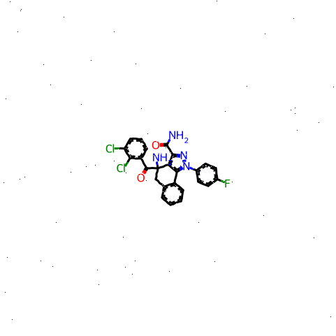 NC(=O)c1nn(-c2ccc(F)cc2)c2c1C(N)(C(=O)c1cccc(Cl)c1Cl)Cc1ccccc1-2